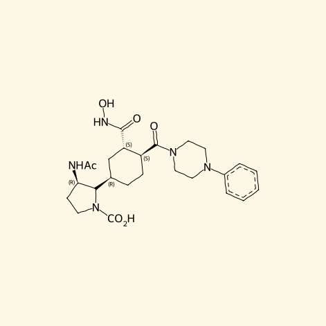 CC(=O)N[C@@H]1CCN(C(=O)O)C1[C@@H]1CC[C@H](C(=O)N2CCN(c3ccccc3)CC2)[C@@H](C(=O)NO)C1